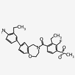 CCc1cc(-c2ccc3c(c2)CN(C(=O)c2ccc(S(C)(=O)=O)c(F)c2CC)CCO3)ccc1N